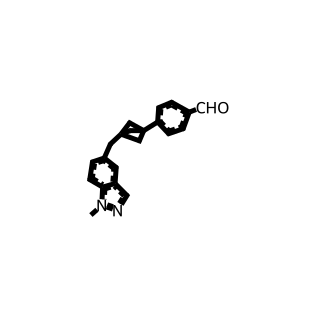 Cn1ncc2cc(CC34CC(c5ccc(C=O)cc5)(C3)C4)ccc21